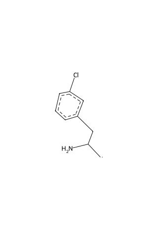 [CH2]C(N)Cc1cccc(Cl)c1